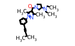 CCN(CC)C1CCN(C(=O)c2c(C)nn(-c3cccc(C#CC(C)C)c3)c2C)C1